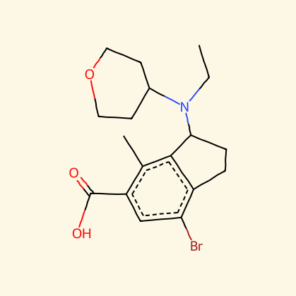 CCN(C1CCOCC1)C1CCc2c(Br)cc(C(=O)O)c(C)c21